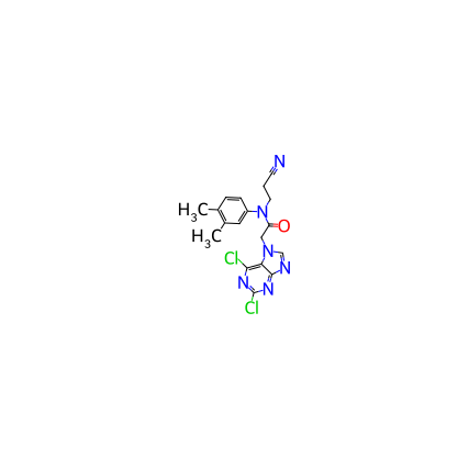 Cc1ccc(N(CCC#N)C(=O)Cn2cnc3nc(Cl)nc(Cl)c32)cc1C